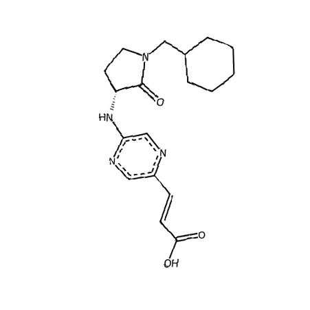 O=C(O)C=Cc1cnc(N[C@@H]2CCN(CC3CCCCC3)C2=O)cn1